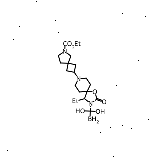 BC(O)(O)N1C(=O)OC2(CCN(C3CC4(CCN(C(=O)OCC)C4)C3)CC2)C1CC